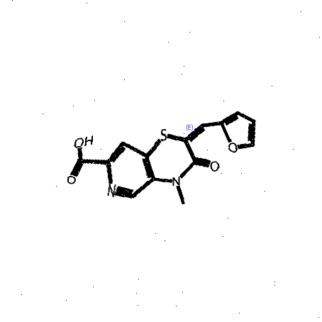 CN1C(=O)/C(=C\c2ccco2)Sc2cc(C(=O)O)ncc21